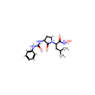 CC(C)CC(C(=O)NO)N1CCC(NC(=O)Nc2ccccc2)C1=O